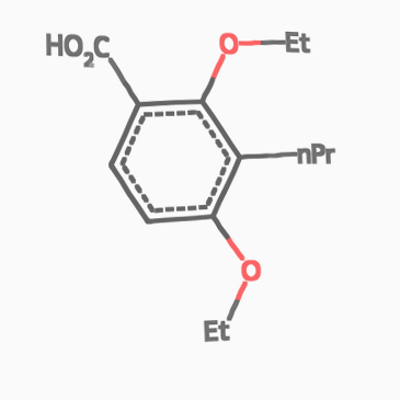 CCCc1c(OCC)ccc(C(=O)O)c1OCC